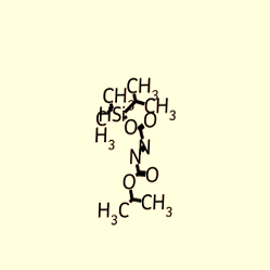 CC(C)OC(=O)N=NC(=O)O[SiH](C(C)C)C(C)C